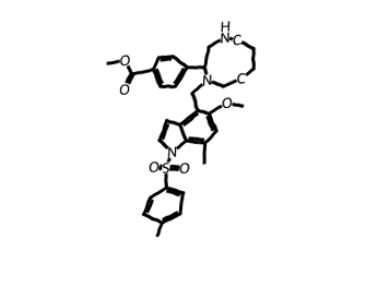 COC(=O)c1ccc(C2CNCCCCCN2Cc2c(OC)cc(C)c3c2ccn3S(=O)(=O)c2ccc(C)cc2)cc1